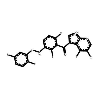 O=C(c1c(F)ccc(NSc2cc(F)ccc2F)c1F)c1c[nH]c2ncc(Cl)c(I)c12